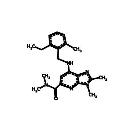 CCc1cccc(C)c1CNc1cc(C(=O)N(C)C)nc2c1nc(C)n2C